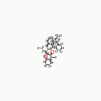 C=C1C(OC(=C\C=C/CC)/C(c2ccccc2C(C)(/C=C\C)CC)=c2/ccccc2=C)=C(C)Oc2ccccc21